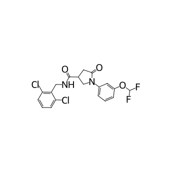 O=C(NCc1c(Cl)cccc1Cl)C1CC(=O)N(c2cccc(OC(F)F)c2)C1